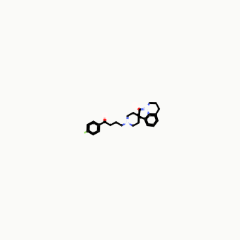 O=C(CCCN1CCC2(CC1)C(=O)N1CCCc3cccc2c31)c1ccc(F)cc1